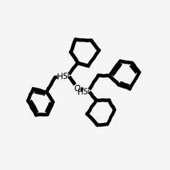 c1ccc(C[SiH](O[SiH](Cc2ccccc2)C2CCCCC2)C2CCCCC2)cc1